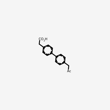 CC(=O)Cc1ccc(-c2ccc(CC(=O)O)cc2)cc1